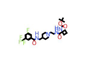 CC(C)(C)OC(=O)NC1(C(=O)NCCN2CCC(CNC(=O)c3cc(F)cc(C(F)(F)F)c3)CC2)CCC1